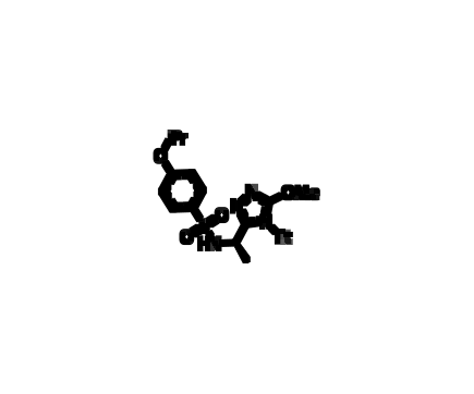 CCn1c(OC)nnc1[C@@H](C)NS(=O)(=O)c1ccc(OC(C)C)cc1